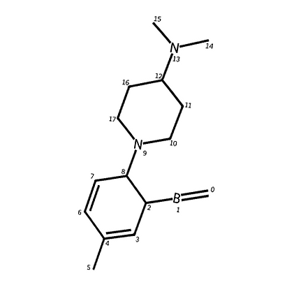 C=BC1C=C(C)C=CC1N1CCC(N(C)C)CC1